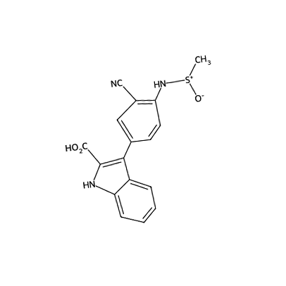 C[S+]([O-])Nc1ccc(-c2c(C(=O)O)[nH]c3ccccc23)cc1C#N